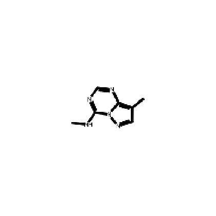 CNc1ncnc2c(C)cnn12